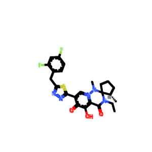 CCN1C(=O)c2c(O)c(=O)c(-c3nnc(Cc4ccc(F)cc4F)s3)cn2N(C)C12CCC[C@@H]2C